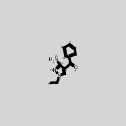 CCn1cc(C(=O)c2ccccc2)c(N)n1